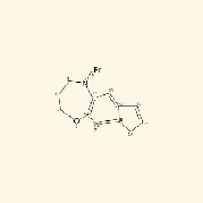 CC(C)N1CCCOc2nc3c(cc21)C=CC3